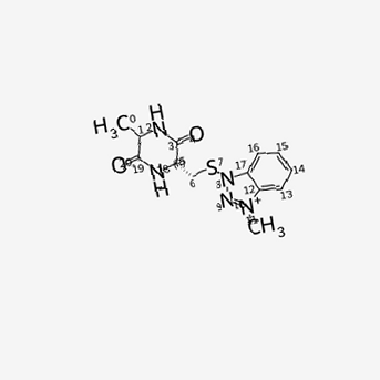 CC1NC(=O)[C@H](CSn2n[n+](C)c3ccccc32)NC1=O